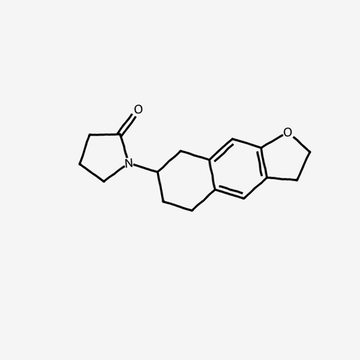 O=C1CCCN1C1CCc2cc3c(cc2C1)OCC3